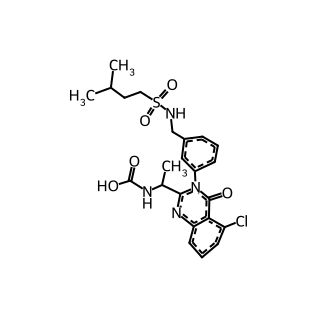 CC(C)CCS(=O)(=O)NCc1cccc(-n2c(C(C)NC(=O)O)nc3cccc(Cl)c3c2=O)c1